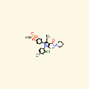 CCCS(=O)(=O)Oc1ccc(-c2c(C)c3c(n2-c2ccc(Cl)cc2Cl)CCN(N2CCCCC2)C3=O)cc1